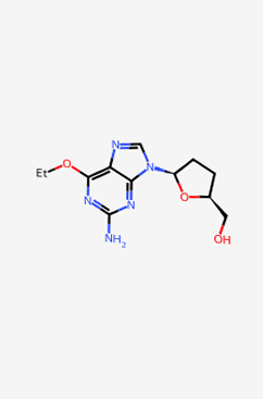 CCOc1nc(N)nc2c1ncn2[C@H]1CC[C@@H](CO)O1